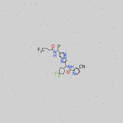 N#Cc1ccnc(C(=O)N[C@H](c2cn3ncc([C@H](NC(=O)CCC(F)(F)F)C4CC4)cc3n2)C2CCC(F)(F)CC2)c1